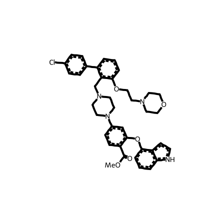 COC(=O)c1ccc(N2CCN(Cc3c(OCCN4CCOCC4)cccc3-c3ccc(Cl)cc3)CC2)cc1Oc1cccc2[nH]ccc12